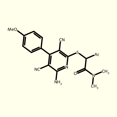 COc1ccc(-c2c(C#N)c(N)nc(SC(C(C)=O)C(=O)N(C)C)c2C#N)cc1